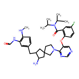 CNc1ccc(CC2CC3(CCN(c4ncncc4Oc4ccc(F)cc4C(=O)N(C(C)C)C(C)C)C3)CC2N)cc1NC=O